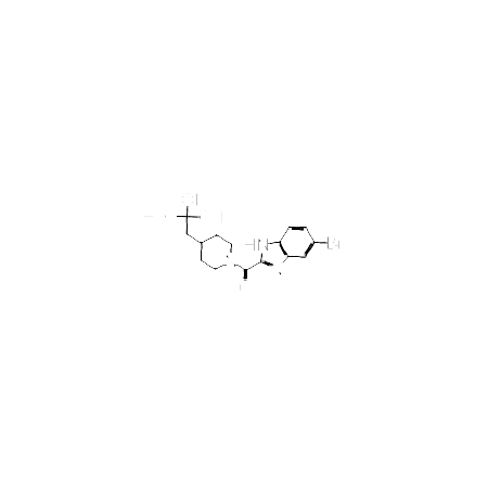 CC(C)(O)CC1CCN(C(=O)c2nc3cc(Br)ccc3[nH]2)CC1